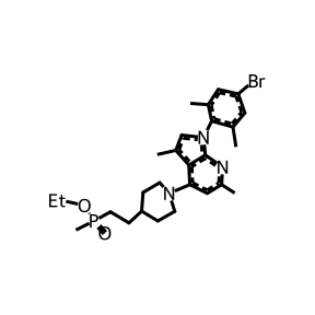 CCOP(C)(=O)CCC1CCN(c2cc(C)nc3c2c(C)cn3-c2c(C)cc(Br)cc2C)CC1